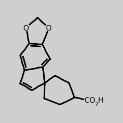 O=C(O)C1CCC2(C=Cc3cc4c(cc32)OCO4)CC1